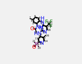 CC(=O)Nc1cc(C)ccc1Nc1nc(Nc2cc(P(C)(C)=O)ncc2C)ncc1C(F)(F)F